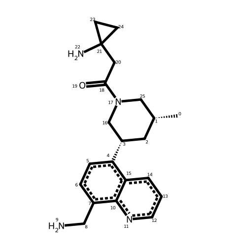 C[C@@H]1C[C@H](c2ccc(CN)c3ncccc23)CN(C(=O)CC2(N)CC2)C1